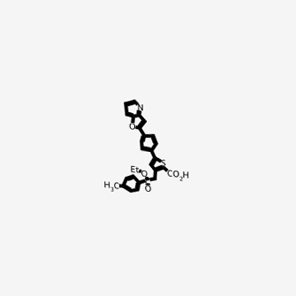 CCOP(=O)(Cc1cc(-c2ccc(-c3cc4ncccc4o3)cc2)sc1C(=O)O)c1ccc(C)cc1